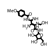 COc1ccc(C(=O)NC(=N)/C(N)=C(\NCO)C(=O)NC2OC(CO)C(O)C2O)cc1